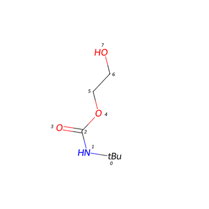 CC(C)(C)NC(=O)OCCO